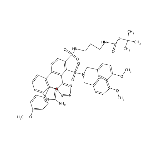 COc1ccc(CN(Cc2ccc(OC)cc2)S(=O)(=O)c2c(S(=O)(=O)NCCCNC(=O)OC(C)(C)C)ccc(-c3cccc4[nH]c(N)nc34)c2-c2nnnn2Cc2ccc(OC)cc2)cc1